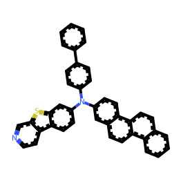 c1ccc(-c2ccc(N(c3ccc4c(ccc5c6ccccc6ccc45)c3)c3ccc4c(c3)sc3cnccc34)cc2)cc1